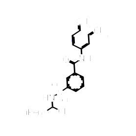 C=C/C=C\C(=C/C=C)NC(=O)c1cccc(S(=O)(=O)NC(C)C(C)CCC)c1